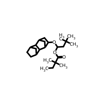 CCC(C)(C)C(=O)OC(CC(C)(C)C)OC1CC2CC1C1C3CCC(C3)C21